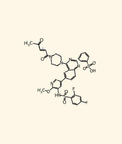 COc1ncc(-c2ccc3ncnc(N4CCN(C(=O)/C=C/C(C)=O)CC4)c3c2)cc1NS(=O)(=O)c1ccc(F)cc1F.O=S(=O)(O)c1ccccc1